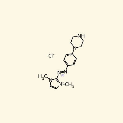 Cn1cc[n+](C)c1/N=N/c1ccc(N2CCNCC2)cc1.[Cl-]